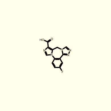 O=C(O)c1ncn2c1Cn1cnnc1-c1cc(F)ccc1-2